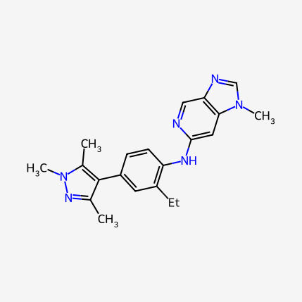 CCc1cc(-c2c(C)nn(C)c2C)ccc1Nc1cc2c(cn1)ncn2C